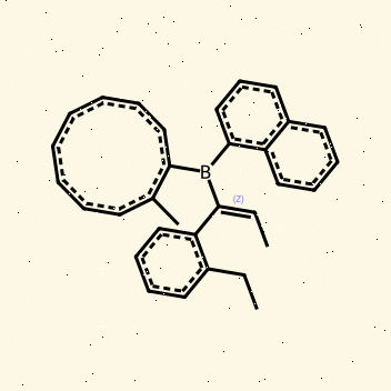 C/C=C(/B(c1ccccccccc1C)c1cccc2ccccc12)c1ccccc1CC